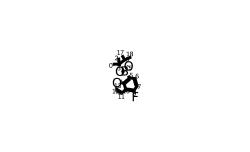 CC1(C)OB(c2ccc(F)c3ccoc23)OC1(C)C